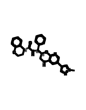 Cn1cc(-c2cnc3c(c2)NC[C@@H]([C@H](NC(=O)[C@@H]2CCOc4ccccc42)c2ccccc2)O3)cn1